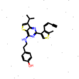 C#C/C=C\c1c(-c2nc(NCCc3ccc(O)cc3)c3scc(C(C)C)c3n2)csc1C